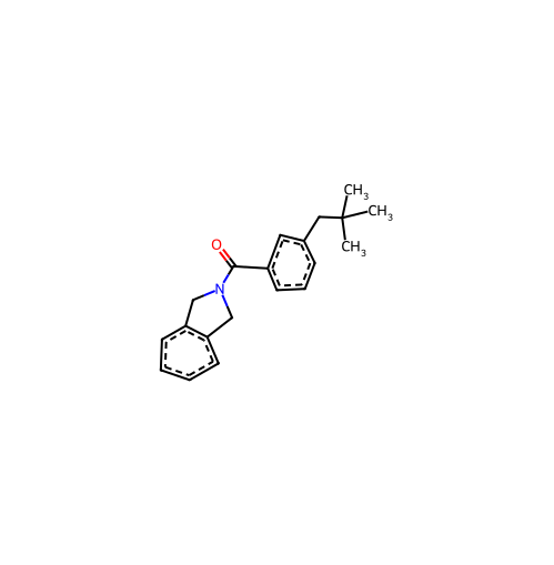 CC(C)(C)Cc1cccc(C(=O)N2Cc3ccccc3C2)c1